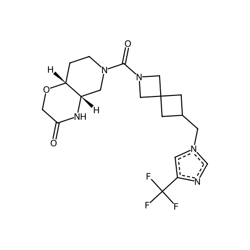 O=C1CO[C@@H]2CCN(C(=O)N3CC4(CC(Cn5cnc(C(F)(F)F)c5)C4)C3)C[C@@H]2N1